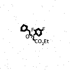 CCOC(=O)CN(C(=O)Cc1ccccc1)c1ccc(F)cc1F